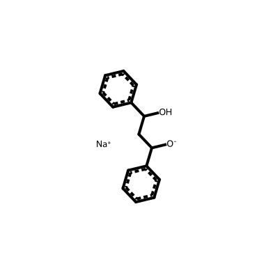 [Na+].[O-]C(CC(O)c1ccccc1)c1ccccc1